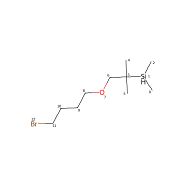 C[SiH](C)C(C)(C)COCCCCBr